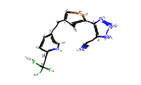 N#Cc1[nH]nnc1-c1cc(Cc2ccc(C(F)(F)F)nc2)cs1